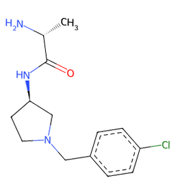 C[C@@H](N)C(=O)N[C@@H]1CCN(Cc2ccc(Cl)cc2)C1